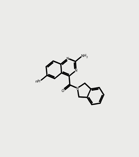 CCCc1ccc2nc(N)nc(C(=O)N3Cc4ccccc4C3)c2c1